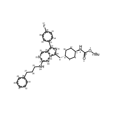 CC(C)(C)OC(=O)N[C@H]1CC[C@H](Cc2nc(-c3ccc(F)cc3)c3cnc(NCCCc4ccccc4)nn23)CC1